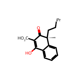 CC(C)CC[C@]1(C)C(=O)C(C(=O)O)=C(O)c2ccccc21